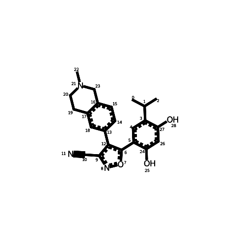 CC(C)c1cc(-c2onc(C#N)c2-c2ccc3c(c2)CCN(C)C3)c(O)cc1O